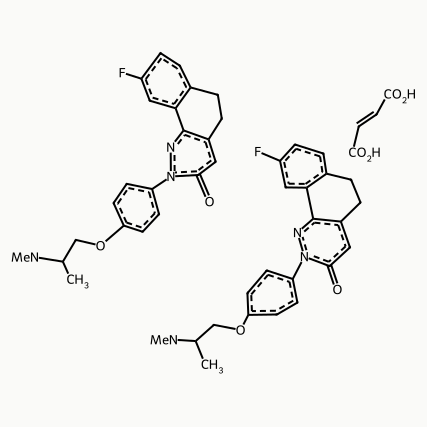 CNC(C)COc1ccc(-n2nc3c(cc2=O)CCc2ccc(F)cc2-3)cc1.CNC(C)COc1ccc(-n2nc3c(cc2=O)CCc2ccc(F)cc2-3)cc1.O=C(O)C=CC(=O)O